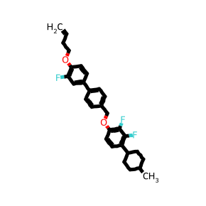 C=CCCOc1ccc(-c2ccc(COc3ccc(C4CCC(C)CC4)c(F)c3F)cc2)cc1F